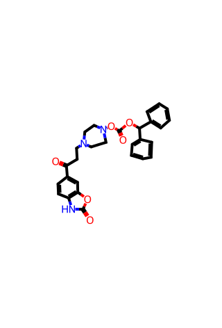 O=C(OC(c1ccccc1)c1ccccc1)ON1CCN(CCC(=O)c2ccc3[nH]c(=O)oc3c2)CC1